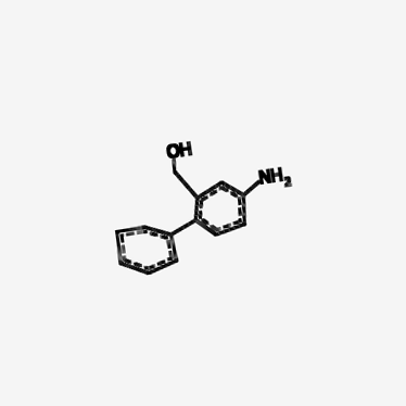 Nc1ccc(-c2ccccc2)c(CO)c1